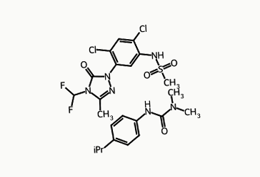 CC(C)c1ccc(NC(=O)N(C)C)cc1.Cc1nn(-c2cc(NS(C)(=O)=O)c(Cl)cc2Cl)c(=O)n1C(F)F